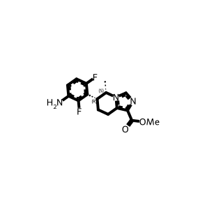 COC(=O)c1ncn2c1CC[C@H](c1c(F)ccc(N)c1F)[C@@H]2C